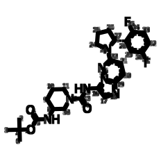 CC(C)(C)OC(=O)NC1CCCN(C(=O)Nc2cnc3ccc(N4CCC[C@@H]4c4cc(F)ccc4F)nn23)C1